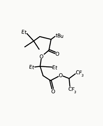 CCC(C)(C)CC(C(=O)OC(CC)(CC)CC(=O)OC(C(F)(F)F)C(F)(F)F)C(C)(C)C